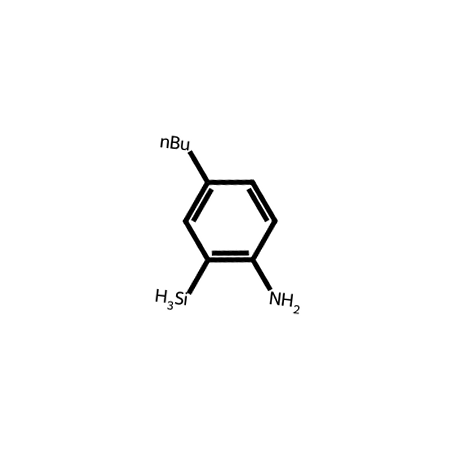 CCCCc1ccc(N)c([SiH3])c1